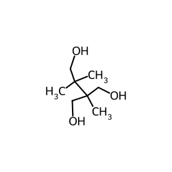 CC(C)(CO)C(C)(CO)CO